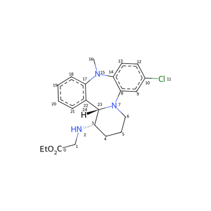 CCOC(=O)CN[C@H]1CCCN2c3cc(Cl)ccc3N(C)c3ccccc3[C@@H]12